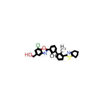 Cc1c(-c2nc3cc(CO)cc(Cl)c3o2)cccc1-c1cccc(-c2nc3c(s2)CCCC3)c1C